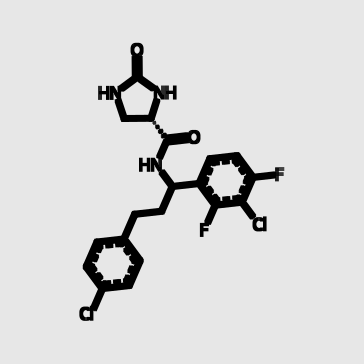 O=C1NC[C@@H](C(=O)NC(CCc2ccc(Cl)cc2)c2ccc(F)c(Cl)c2F)N1